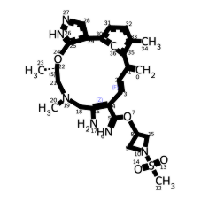 C=C1/C=C/C(C(=N)OC2CN(S(C)(=O)=O)C2)=C(/N)CN(C)C[C@H](C)Oc2[nH]ncc2-c2ccc(C)c1c2